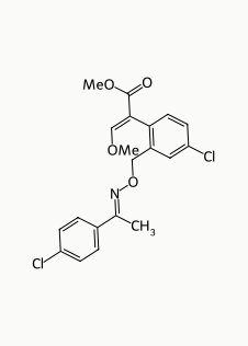 CO/C=C(/C(=O)OC)c1ccc(Cl)cc1CO/N=C(\C)c1ccc(Cl)cc1